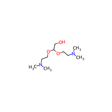 CN(C)CCOC(CO)OCCN(C)C